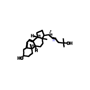 C[C@H](/C=C/CC(C)(C)O)C1CC[C@H]2C3=CC=C4CC(O)CCC4(C)[C@H]3CCC12C